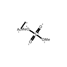 CC(C)=O.COS(=O)(=O)OC